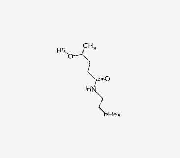 CCCCCCCCNC(=O)CCC(C)OS